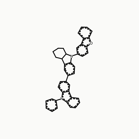 c1ccc(-n2c3ccccc3c3cc(-c4ccc5c(c4)C4CCCCC4N5c4ccc5oc6ccccc6c5c4)ccc32)cc1